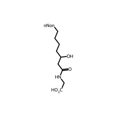 CCCCCCCCCCCCCC(O)CC(=O)NCC(=O)O